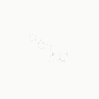 CC1(C)OB(c2ccc3nc(-c4ccccc4)ccc3c2)OC1(C)C